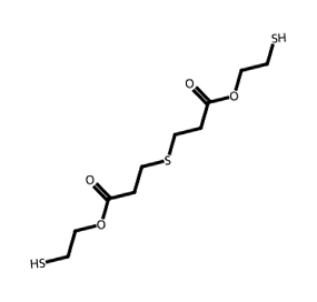 O=C(CCSCCC(=O)OCCS)OCCS